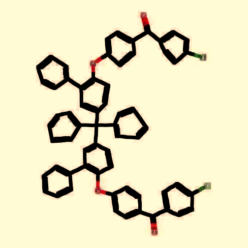 O=C(c1ccc(Cl)cc1)c1ccc(Oc2ccc(C(c3ccccc3)(c3ccccc3)c3ccc(Oc4ccc(C(=O)c5ccc(Cl)cc5)cc4)c(-c4ccccc4)c3)cc2-c2ccccc2)cc1